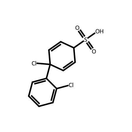 O=S(=O)(O)C1C=CC(Cl)(c2ccccc2Cl)C=C1